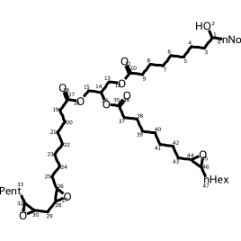 CCCCCCCCCC(O)CCCCCCCC(=O)OCC(COC(=O)CCCCCCCC1OC1CC1OC1CCCCC)OC(=O)CCCCCCCC1OC1CCCCCC